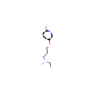 CCN(C)CCCOc1ccc(N)nc1